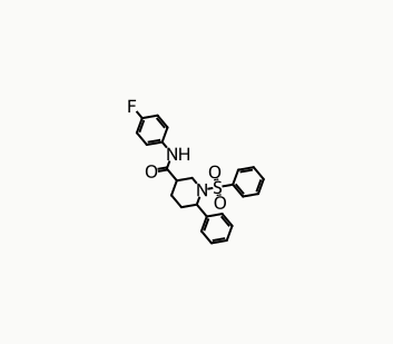 O=C(Nc1ccc(F)cc1)C1CCC(c2ccccc2)N(S(=O)(=O)c2ccccc2)C1